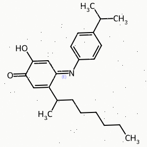 CCCCCCC(C)C1=CC(=O)C(O)=C/C1=N\c1ccc(C(C)C)cc1